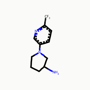 NC1CCCN(c2ccc(C(F)(F)F)nc2)C1